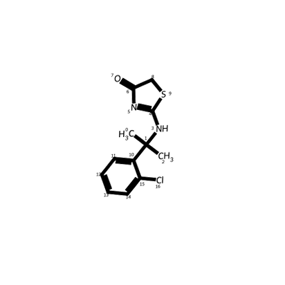 CC(C)(NC1=NC(=O)CS1)c1ccccc1Cl